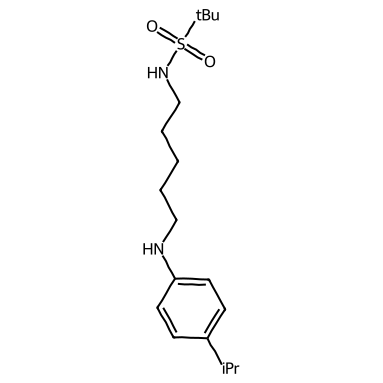 CC(C)c1ccc(NCCCCCNS(=O)(=O)C(C)(C)C)cc1